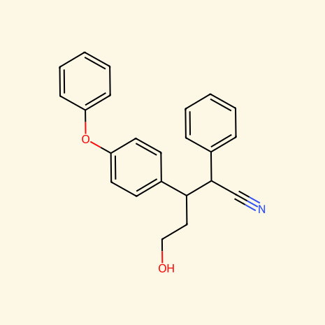 N#CC(c1ccccc1)C(CCO)c1ccc(Oc2ccccc2)cc1